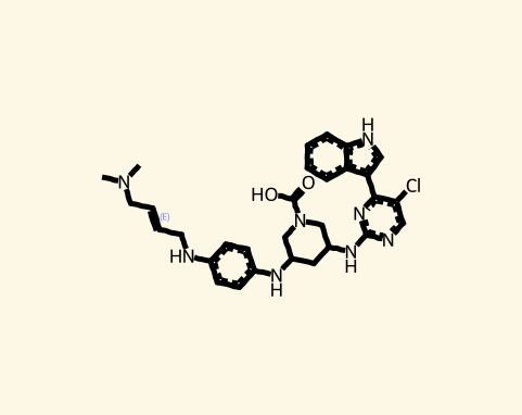 CN(C)C/C=C/CNc1ccc(NC2CC(Nc3ncc(Cl)c(-c4c[nH]c5ccccc45)n3)CN(C(=O)O)C2)cc1